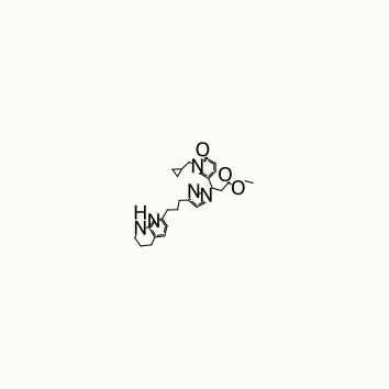 CCOC(=O)CC(c1ccc(=O)n(CC2CC2)c1)n1ccc(CCCc2ccc3c(n2)NCCC3)n1